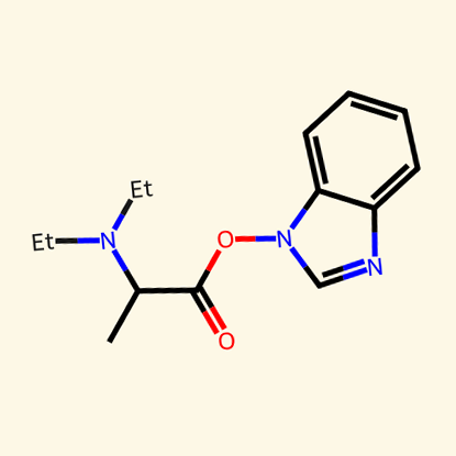 CCN(CC)C(C)C(=O)On1cnc2ccccc21